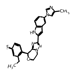 CCc1cc(F)ccc1C1OCCn2nc(-c3cc4cc(-n5cnc(C)c5)ccc4[nH]3)nc21